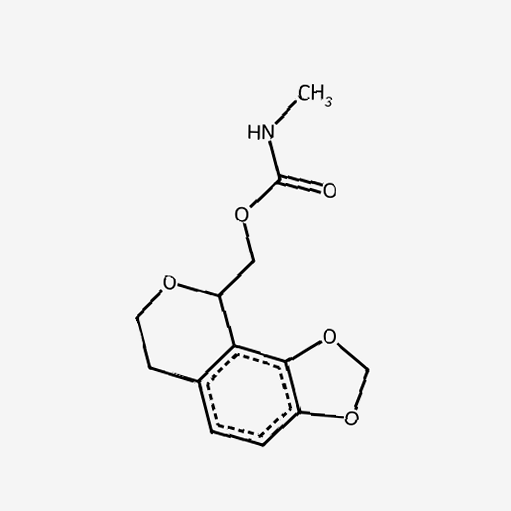 CNC(=O)OCC1OCCc2ccc3c(c21)OCO3